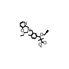 C#CCOC(c1ccc(C)c(CN2Cc3ncccc3O[C@H](CC)C2)c1)C(C)(C)C(=O)OC